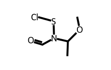 COC(C)N(C=O)SCl